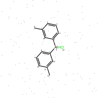 Cc1ccc[c]([Al][c]2cccc(C)c2)c1.Cl